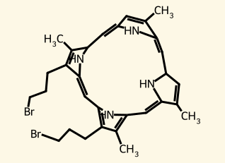 CC1=CC2/C=c3\[nH]/c(cc3C)=C\C3N/C(=C\c4[nH]c(c(C)c4CCCBr)/C=C/1N2)C(CCCBr)=C3C